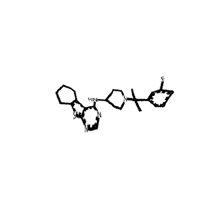 CC(C)(c1cccc(F)c1)N1CCC(Nc2ncnc3sc4c(c23)CCCC4)CC1